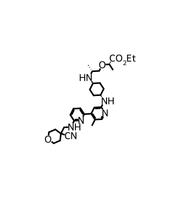 CCOC(=O)[C@H](C)OC[C@@H](C)N[C@H]1CC[C@H](Nc2cc(-c3cccc(NCC4(C#N)CCOCC4)n3)c(C)cn2)CC1